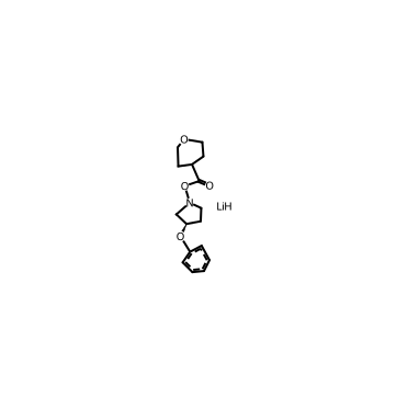 O=C(ON1CC[C@@H](Oc2ccccc2)C1)C1CCOCC1.[LiH]